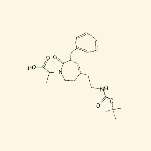 CC(C(=O)O)N1CCC(CCNC(=O)OC(C)(C)C)=CC(Cc2ccccc2)C1=O